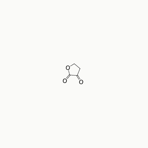 O=C1CCOC1=O